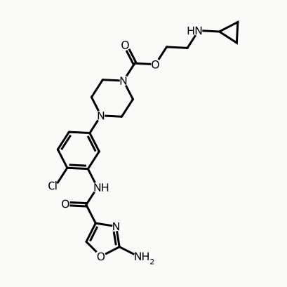 Nc1nc(C(=O)Nc2cc(N3CCN(C(=O)OCCNC4CC4)CC3)ccc2Cl)co1